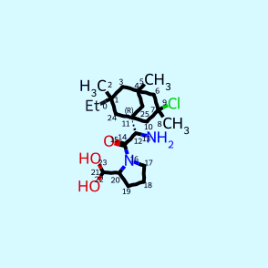 CCC1(C)CC2(C)CC(C)(Cl)C[C@@](C(N)C(=O)N3CCCC3C(O)O)(C1)C2